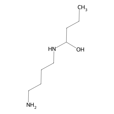 CCCC(O)NCCCCN